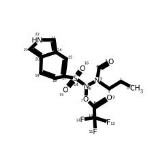 CCCN(C=O)N(OC(=O)C(F)(F)F)S(=O)(=O)c1ccc2c[nH]cc2c1